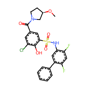 CO[C@@H]1CCN(C(=O)c2cc(Cl)c(O)c(S(=O)(=O)Nc3cc(-c4ccccc4)c(F)cc3F)c2)C1